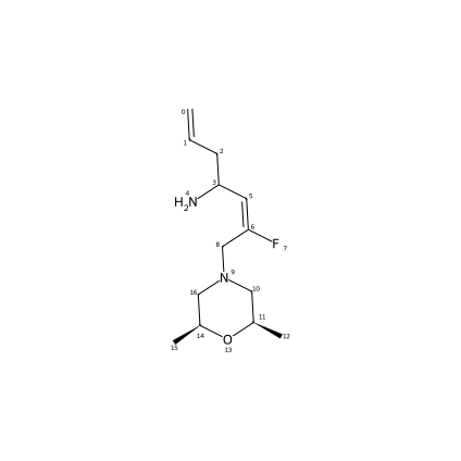 C=CCC(N)/C=C(/F)CN1C[C@@H](C)O[C@@H](C)C1